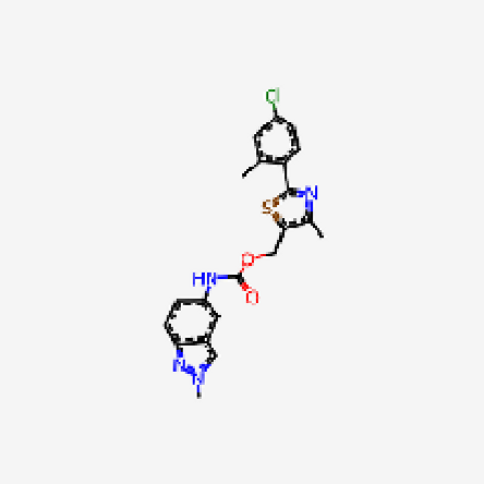 Cc1cc(Cl)ccc1-c1nc(C)c(COC(=O)Nc2ccc3nn(C)cc3c2)s1